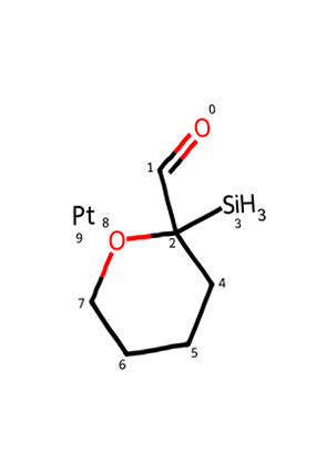 O=CC1([SiH3])CCCCO1.[Pt]